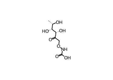 C[C@H](O)[C@@H](O)[C@H](O)C(=O)CONC(=O)O